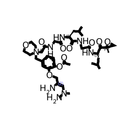 CC(=O)Oc1ccc(C[N+]2(CC(=O)NCC(=O)N[C@@H](CC(C)C)C(=O)NCC(=O)N[C@@H](CC(C)C)C(=O)[C@@]3(C)CO3)CCOCC2)cc1OC/C(N)=C/N(C)N